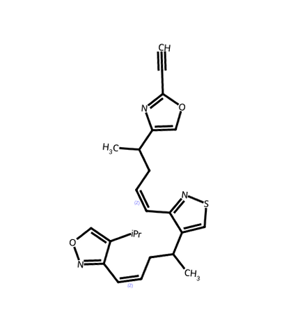 C#Cc1nc(C(C)C/C=C\c2nscc2C(C)C/C=C\c2nocc2C(C)C)co1